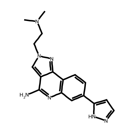 CN(C)CCn1cc2c(N)nc3cc(-c4ccn[nH]4)ccc3c2n1